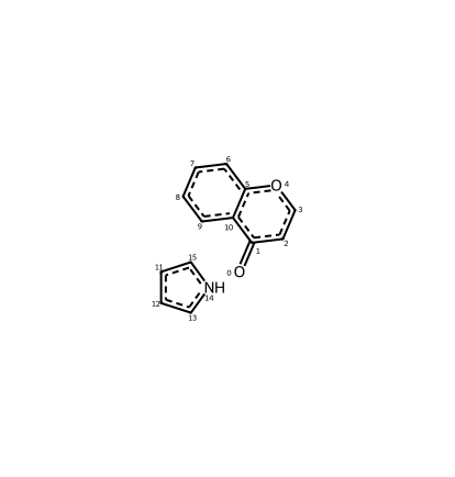 O=c1ccoc2ccccc12.c1cc[nH]c1